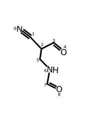 N#CC(C=O)CNC=O